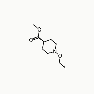 COC(=O)C1CCN(OCI)CC1